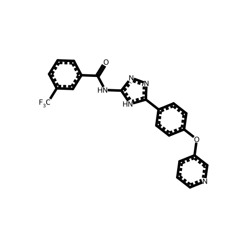 O=C(Nc1nnc(-c2ccc(Oc3cccnc3)cc2)[nH]1)c1cccc(C(F)(F)F)c1